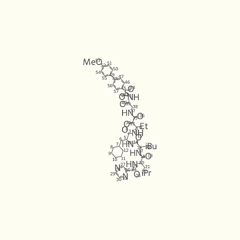 CCC(NC(=O)C(CC1CCCCC1)NC(=O)C(NC(=O)C(CC(C)C)NC(=O)c1cnccn1)C(C)CC)C(=O)C(=O)NCC(=O)NS(=O)(=O)c1ccc(-c2ccc(OC)cc2)cc1